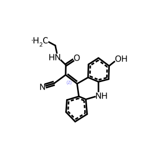 [CH2]CNC(=O)/C(C#N)=C1/c2ccccc2Nc2cc(O)ccc21